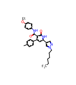 CCOc1ccc(NC(=O)c2c(-c3ccc(C)cc3)cc(-c3cnn(CCCCCC(F)(F)F)c3)[nH]c2=O)cc1